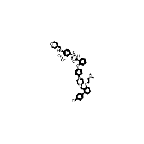 CN(C)CCOc1cccc(-c2ccc(Cl)cc2)c1CN1CCN(c2ccc(Oc3ccccc3C(=O)NS(=O)(=O)c3ccc(NCC4CCOCC4)c([N+](=O)[O-])c3)cc2)CC1